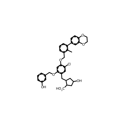 Cc1c(COc2cc(OCc3cccc(O)c3)c(CC3CC(O)CC3C(=O)O)cc2Cl)cccc1-c1ccc2c(c1)OCCO2